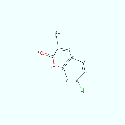 O=c1oc2cc(Cl)ccc2cc1C(F)(F)F